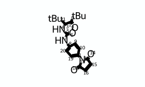 CC(C)(C)C(=O)C(NC(=O)Nc1ccc(N2C(=O)C=CC2=O)cc1)C(C)(C)C